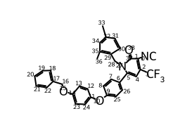 [C-]#[N+]c1c(C(F)(F)F)cc(-c2ccc(Oc3ccc(OCc4ccccc4)cc3)cc2)n(Cc2ccc(C)cc2C)c1=O